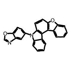 c1ccc2c(c1)oc1ccc3c(c4ccccc4n3-c3ccc4ocnc4c3)c12